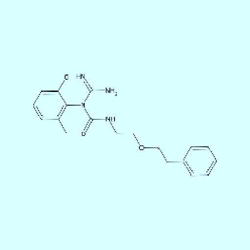 Cc1cccc(Cl)c1N(C(=N)N)C(=O)NCCOCCc1ccccc1